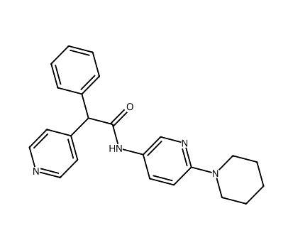 O=C(Nc1ccc(N2CCCCC2)nc1)C(c1ccccc1)c1ccncc1